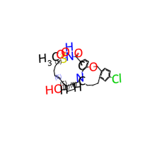 C[C@H]1CC/C=C/[C@@H](O)[C@@H]2CC[C@H]2CN2CCCCc3cc(Cl)ccc3COc3ccc(cc32)C(=O)NS1(=O)=O